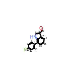 O=Cc1c[nH]c2c(-c3ccc(F)cc3)cccc12